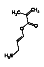 C=C(C)C(=O)OC=CC[SiH3]